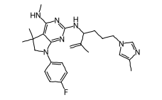 C=C(C)C(CCCn1cnc(C)c1)Nc1nc(NC)c2c(n1)N(c1ccc(F)cc1)CC2(C)C